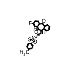 Cc1ccc(S(=O)(=O)OC[C@H]2C[C@@H]3c4ccccc4C(=O)C4C=CC(F)=CC4[C@H]3O2)cc1